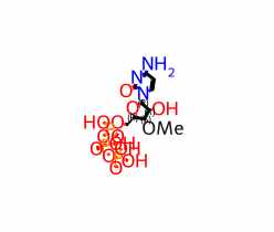 CO[C@H]1[C@@H](O)[C@H](n2ccc(N)nc2=O)O[C@@H]1COP(=O)(O)OP(=O)(O)OP(=O)(O)O